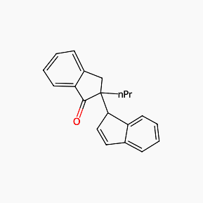 CCCC1(C2C=Cc3ccccc32)Cc2ccccc2C1=O